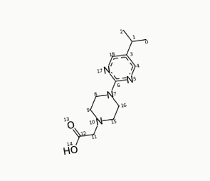 CC(C)c1cnc(N2CCN(CC(=O)O)CC2)nc1